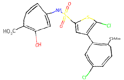 COc1ccc(Cl)cc1-c1cc(S(=O)(=O)Nc2ccc(C(=O)O)c(O)c2)sc1Cl